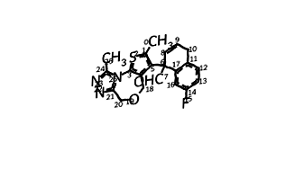 Cc1sc2c(c1C1(C=O)C=CCc3ccc(F)cc31)COCc1nnc(C)n1-2